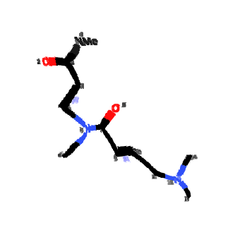 CNC(=O)/C=C/N(C)C(=O)/C=C/CN(C)C